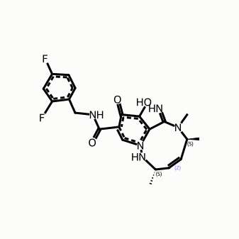 C[C@H]1/C=C\[C@H](C)N(C)C(=N)c2c(O)c(=O)c(C(=O)NCc3ccc(F)cc3F)cn2N1